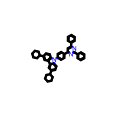 c1ccc(-c2cc(-c3ccc(-n4c5ccc(C6CCCCC6)cc5c5cc(C6CCCCC6)ccc54)cc3)nc(-c3ccccc3)n2)cc1